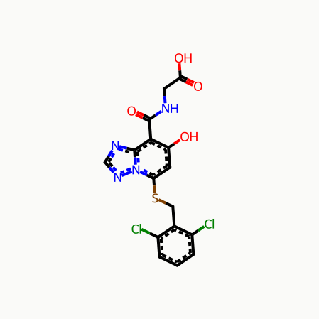 O=C(O)CNC(=O)c1c(O)cc(SCc2c(Cl)cccc2Cl)n2ncnc12